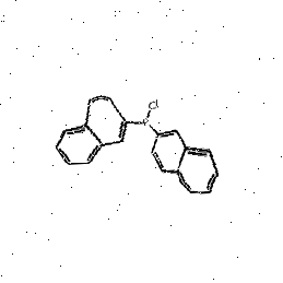 ClP(c1ccc2ccccc2c1)c1ccc2ccccc2c1